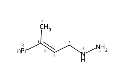 CCC/C(C)=C/CNN